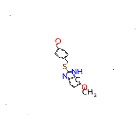 COc1ccc2nc(SCc3ccc(C=O)cc3)[nH]c2c1